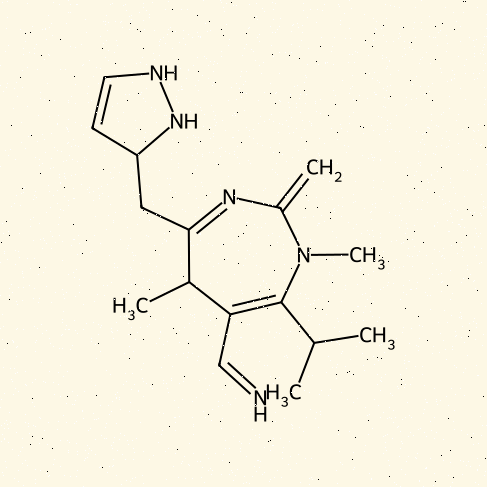 C=C1N=C(CC2C=CNN2)C(C)C(C=N)=C(C(C)C)N1C